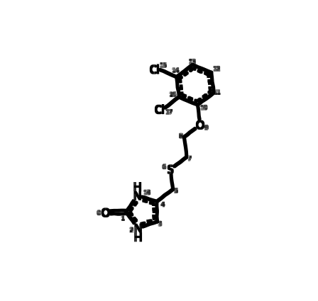 O=c1[nH]cc(CSCCOc2cccc(Cl)c2Cl)[nH]1